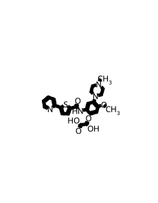 COc1ccc(NC(=O)c2ccc(-c3ccccn3)s2)cc1N1CCN(C)CC1.O=C(O)C(=O)O